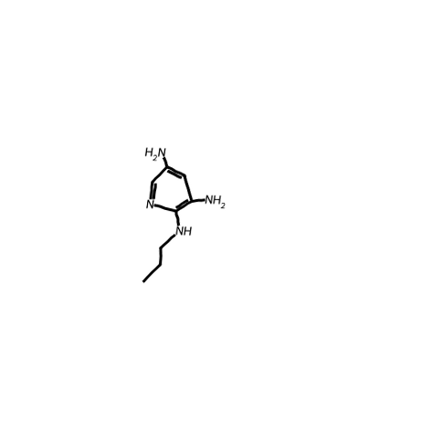 CCCNc1ncc(N)cc1N